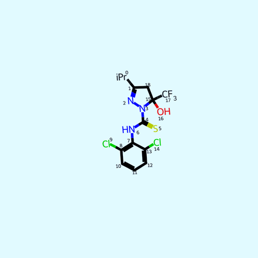 CC(C)C1=NN(C(=S)Nc2c(Cl)cccc2Cl)C(O)(C(F)(F)F)C1